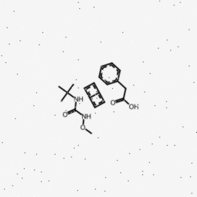 CONC(=O)NC(C)(C)C.O=C(O)Cc1ccccc1.c1cc2ccc1-2